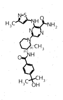 Cc1cc(Nc2nc(N3CCC[C@@H](NC(=O)c4ccc(C(C)(C)O)cc4)[C@H]3C)cnc2C(N)=O)sn1